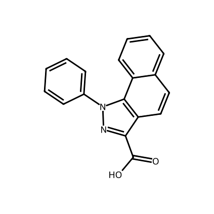 O=C(O)c1nn(-c2ccccc2)c2c1ccc1ccccc12